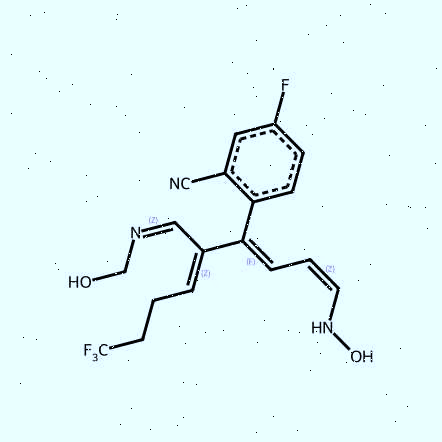 N#Cc1cc(F)ccc1C(=C\C=C/NO)/C(/C=N\CO)=C/CCC(F)(F)F